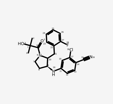 CC(C)(O)C(=O)N1CC[C@H](Nc2ccc(C#N)c(Cl)c2)C1Cc1ccccc1F